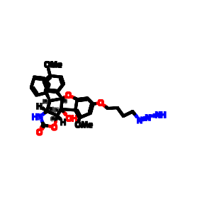 COc1ccc([C@@]23Oc4cc(OCCCCN=[N+]=N)cc(OC)c4[C@]2(O)[C@@H]2OC(=O)N[C@@H]2[C@H]3c2ccccc2)cc1